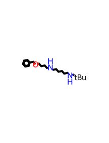 CC(C)(C)CNCCCCCCNCCCCOCc1ccccc1